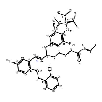 CCOC(=O)CCCCC(/C=C/c1cc(F)ccc1OCc1ccccc1Cl)Cc1cc(F)c(O[Si](C(C)C)(C(C)C)C(C)C)c(F)c1